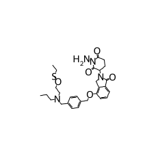 CCCN(CCOSCC)Cc1ccc(COc2cccc3c2CN(C2CCC(=O)N(N)C2=O)C3=O)cc1